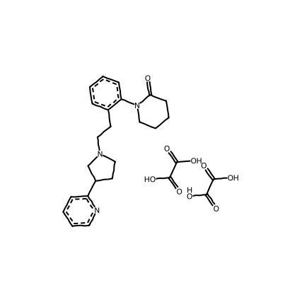 O=C(O)C(=O)O.O=C(O)C(=O)O.O=C1CCCCN1c1ccccc1CCN1CCC(c2ccccn2)C1